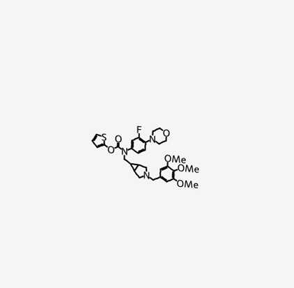 COc1cc(CN2CC3C(C2)C3CN(C(=O)Oc2cccs2)c2ccc(N3CCOCC3)c(F)c2)cc(OC)c1OC